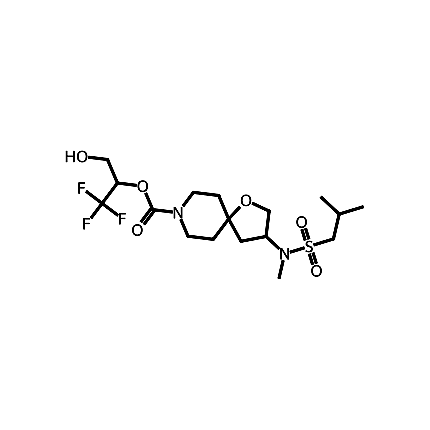 CC(C)CS(=O)(=O)N(C)C1COC2(CCN(C(=O)OC(CO)C(F)(F)F)CC2)C1